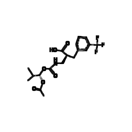 CC(=O)O[C@@H](OC(=O)NC[C@H](Cc1cccc(C(F)(F)F)c1)C(=O)O)C(C)C